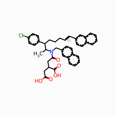 CC(C(CCC/C=C/c1ccc2ccccc2c1)c1ccc(Cl)cc1)N(Cc1ccc2ccccc2c1)C(=O)CC(CC(=O)O)C(=O)O